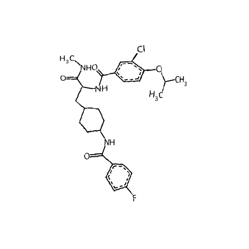 CNC(=O)C(CC1CCC(NC(=O)c2ccc(F)cc2)CC1)NC(=O)c1ccc(OC(C)C)c(Cl)c1